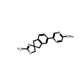 COc1cnc(-c2ccc3c(c2)CC2(COC(N)=N2)C3)cn1